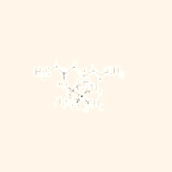 [CH2]CC(CCCCC)O[Si](C)(C)C(C)(C)C